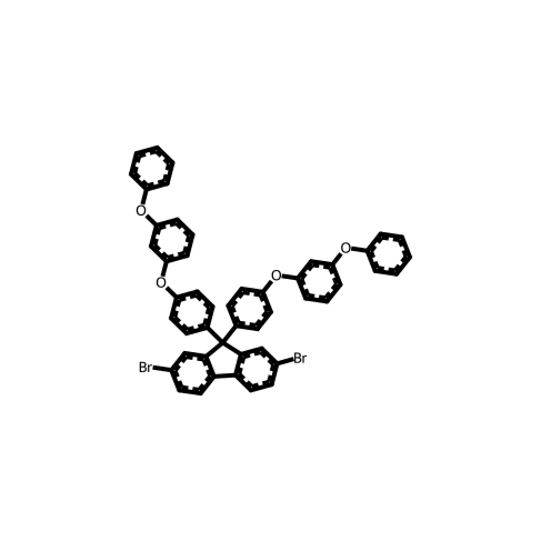 Brc1ccc2c(c1)C(c1ccc(Oc3cccc(Oc4ccccc4)c3)cc1)(c1ccc(Oc3cccc(Oc4ccccc4)c3)cc1)c1cc(Br)ccc1-2